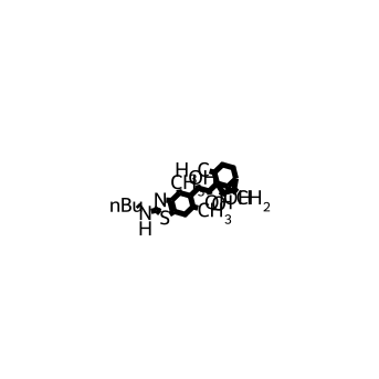 C=C1C(=O)C2(C(O)C(O)C3C(C)Cc4sc(NCCCC)nc4C3C)C(C)CCC1C2O